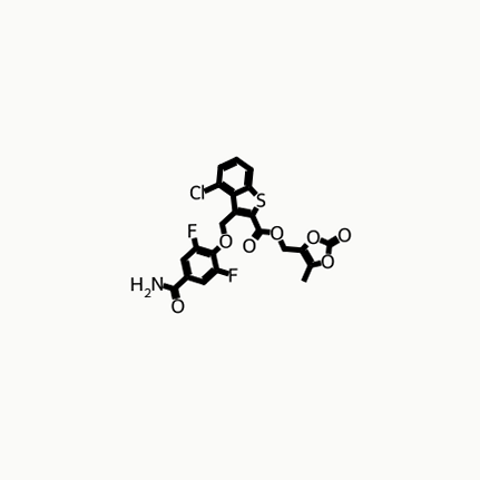 Cc1oc(=O)oc1COC(=O)c1sc2cccc(Cl)c2c1COc1c(F)cc(C(N)=O)cc1F